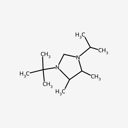 CC(C)N1CN(C(C)(C)C)C(C)C1C